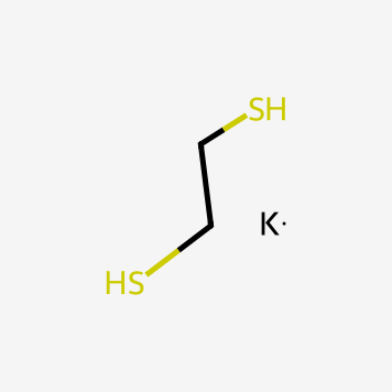 SCCS.[K]